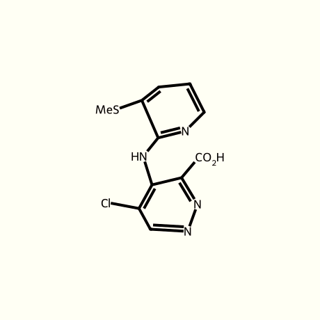 CSc1cccnc1Nc1c(Cl)cnnc1C(=O)O